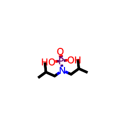 CC(C)CN(CC(C)C)P(=O)(O)O